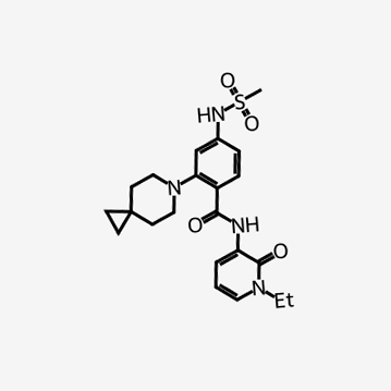 CCn1cccc(NC(=O)c2ccc(NS(C)(=O)=O)cc2N2CCC3(CC2)CC3)c1=O